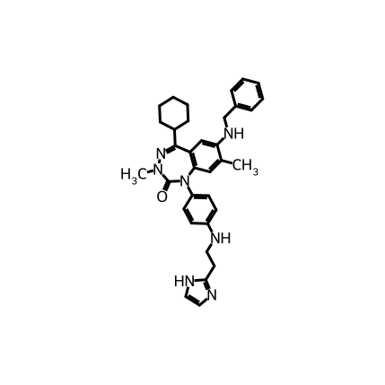 Cc1cc2c(cc1NCc1ccccc1)C(C1CCCCC1)=NN(C)C(=O)N2c1ccc(NCCc2ncc[nH]2)cc1